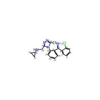 Clc1ccccc1C1=NCc2nnc(CNC3CC3)n2-c2ccccc21